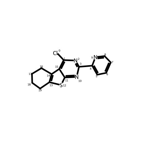 Clc1nc(-c2ccccn2)nc2sc3c(c12)CCCC3